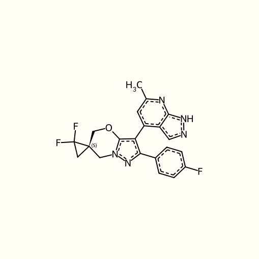 Cc1cc(-c2c(-c3ccc(F)cc3)nn3c2OC[C@@]2(C3)CC2(F)F)c2cn[nH]c2n1